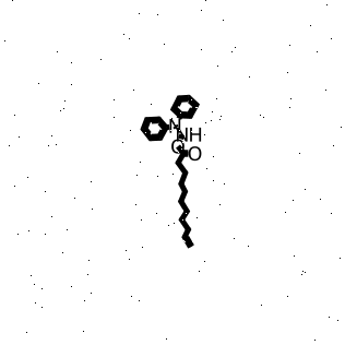 C=CCCCCCCCCC(=O)ONN(c1ccccc1)c1ccccc1